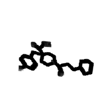 O=C(CCc1ccccc1)N1CCC(Cc2ccc(F)cc2)(C(=O)O)CC1